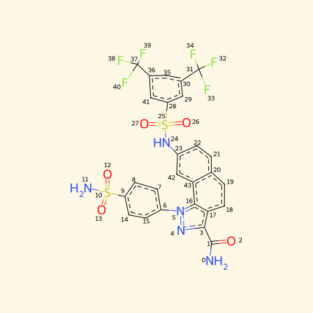 NC(=O)c1nn(-c2ccc(S(N)(=O)=O)cc2)c2c1ccc1ccc(NS(=O)(=O)c3cc(C(F)(F)F)cc(C(F)(F)F)c3)cc12